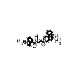 CN(C)C1(c2ccccc2)CCN(C(=O)CCNC(=O)c2cccc3c2ccn3C)CC1